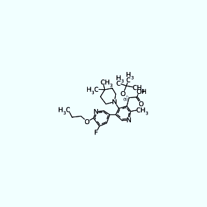 CCCOc1ncc(-c2cnc(C)c([C@H](OC(C)(C)C)C(=O)O)c2N2CCC(C)(C)CC2)cc1F